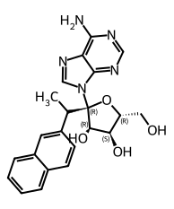 CC(c1ccc2ccccc2c1)[C@@]1(n2cnc3c(N)ncnc32)O[C@H](CO)[C@@H](O)[C@H]1O